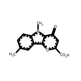 Cc1ccc2c(c1)c1oc(C(=O)O)cc(=O)c1n2C